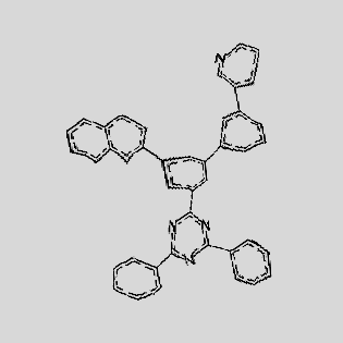 c1ccc(-c2nc(-c3ccccc3)nc(-c3cc(-c4cccc(-c5cccnc5)c4)cc(-c4ccc5ccccc5c4)c3)n2)cc1